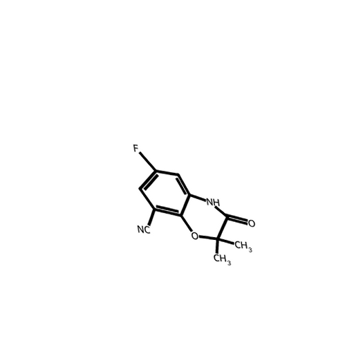 CC1(C)Oc2c(C#N)cc(F)cc2NC1=O